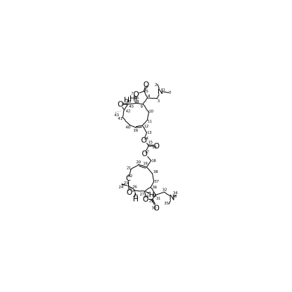 CN(C)CC1C(=O)O[C@H]2C1CC/C(COC(=O)OC/C1=C/CC[C@@]3(C)O[C@H]3[C@H]3OC(=O)C(CN(C)C)C3CC1)=C\CC[C@@]1(C)O[C@@H]21